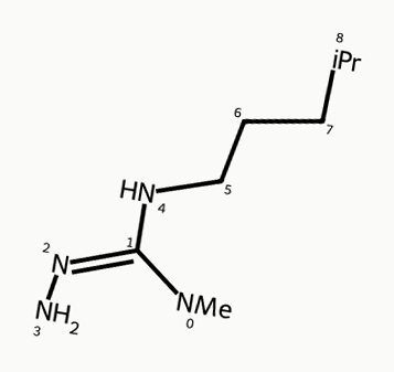 CN/C(=N\N)NCCCC(C)C